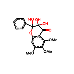 COc1cc2c(c(OC)c1OC)C(=O)C(O)(O)C(O)(c1ccccc1)O2